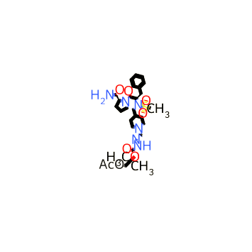 CC(=O)OCC(C)(C)OC(=O)NN=CN1CCC(CN([C@H](Cc2ccccc2)C(=O)N2CCC[C@H]2C(N)=O)S(C)(=O)=O)CC1